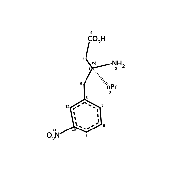 CCC[C@@](N)(CC(=O)O)Cc1cccc([N+](=O)[O-])c1